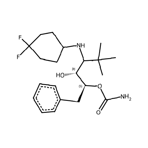 CC(C)(C)C(NC1CCC(F)(F)CC1)[C@@H](O)[C@H](Cc1ccccc1)OC(N)=O